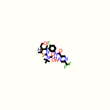 CC1SC(N(C(=O)O)C(C)(C)C)=N[C@@]2(c3cc(NC(=O)c4cnc(C(F)F)cn4)ccc3F)COCC[C@@H]12